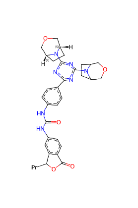 CC(C)C1OC(=O)c2ccc(NC(=O)Nc3ccc(-c4nc(N5C6CCC5COC6)nc(N5[C@@H]6CC[C@H]5COC6)n4)cc3)cc21